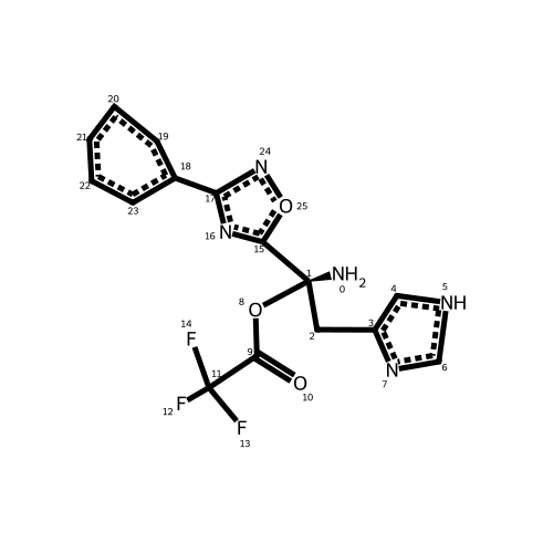 N[C@@](Cc1c[nH]cn1)(OC(=O)C(F)(F)F)c1nc(-c2ccccc2)no1